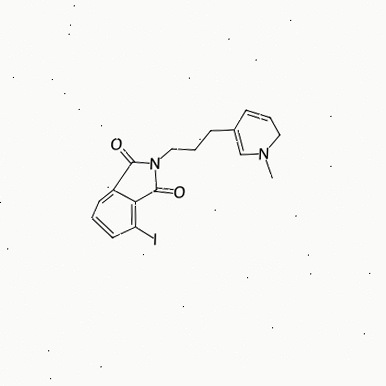 CN1C=C(CCCN2C(=O)c3cccc(I)c3C2=O)C=CC1